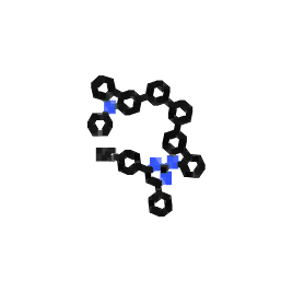 N#Cc1ccc(-c2cc(-c3ccccc3)nc(-n3c4ccccc4c4cc(-c5cccc(-c6cccc(-c7ccc8c(c7)c7ccccc7n8-c7ccccc7)c6)c5)ccc43)n2)cc1